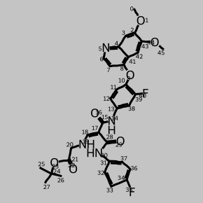 COc1cc2nccc(Oc3ccc(NC(=O)/C(=C/NCC(=O)OC(C)(C)C)C(=O)Nc4ccc(F)cc4)cc3F)c2cc1OC